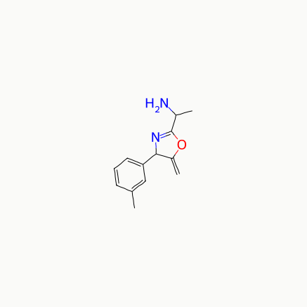 C=C1OC(C(C)N)=NC1c1cccc(C)c1